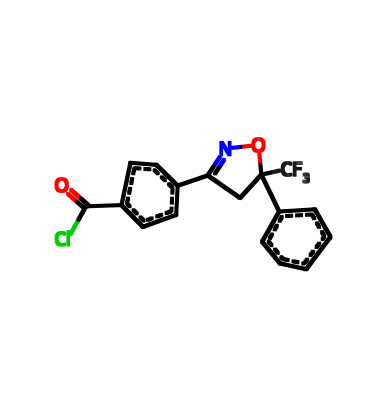 O=C(Cl)c1ccc(C2=NOC(c3ccccc3)(C(F)(F)F)C2)cc1